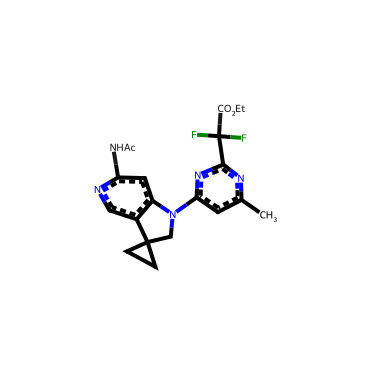 CCOC(=O)C(F)(F)c1nc(C)cc(N2CC3(CC3)c3cnc(NC(C)=O)cc32)n1